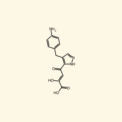 Nc1ccc(Cc2cn[nH]c2C(=O)C=C(O)C(=O)O)cc1